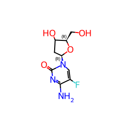 Nc1nc(=O)n([C@H]2CC(O)[C@@H](CO)O2)cc1F